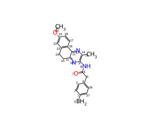 Bc1ccc(CC(=O)Nc2nc3c(nc2C)-c2ccc(OC)cc2CC3)cc1